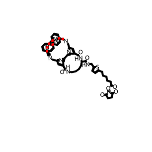 O=C(CCCCCc1ccc(CNC(=O)C2CCCCNC(=O)c3cc4nc(c3)-c3cc(cc(n3)CN3Cc5cccc(n5)-c5cccc(n5)CN(Cc5cccc(n5)-c5cccc(n5)C3)C4)C(=O)N2)s1)ON1C(=O)CCC1=O